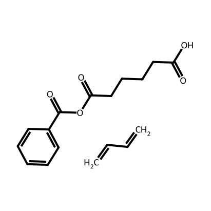 C=CC=C.O=C(O)CCCCC(=O)OC(=O)c1ccccc1